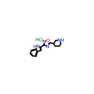 Cl.c1ccc2[nH]c(-c3noc(C4CCCNC4)n3)cc2c1